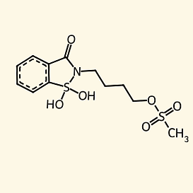 CS(=O)(=O)OCCCCN1C(=O)c2ccccc2S1(O)O